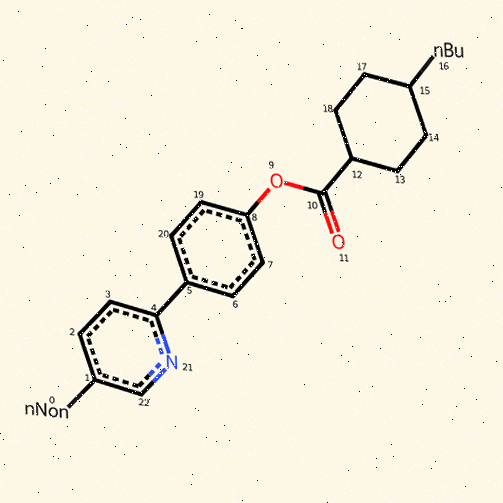 CCCCCCCCCc1ccc(-c2ccc(OC(=O)C3CCC(CCCC)CC3)cc2)nc1